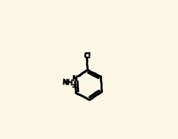 Clc1ccccn1.N